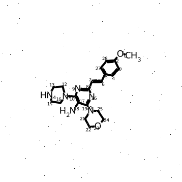 COc1ccc(C=Cc2nc(N3CCNCC3)c(N)c(N3CCOCC3)n2)cc1